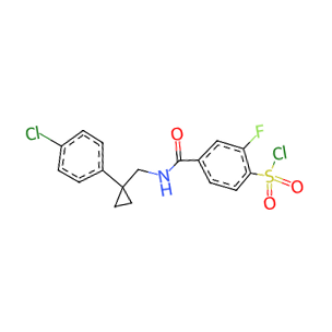 O=C(NCC1(c2ccc(Cl)cc2)CC1)c1ccc(S(=O)(=O)Cl)c(F)c1